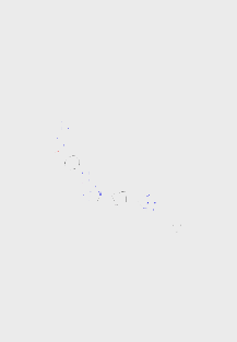 COCCn1ncc(-c2ccc(-c3cnc(C(=O)Nc4ccc(C(=O)N5CCNCC5C)c(Cl)c4)n3C)c(F)c2F)c1C